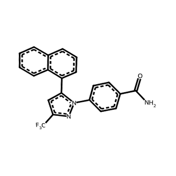 NC(=O)c1ccc(-n2nc(C(F)(F)F)cc2-c2cccc3ccccc23)cc1